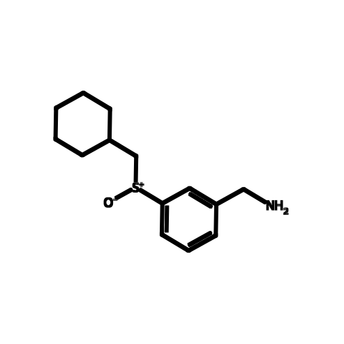 NCc1cccc([S+]([O-])CC2CCCCC2)c1